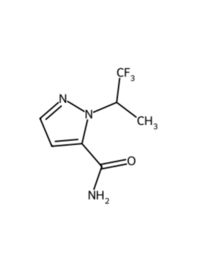 CC(n1nccc1C(N)=O)C(F)(F)F